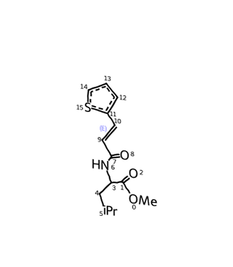 COC(=O)C(CC(C)C)NC(=O)/C=C/c1cccs1